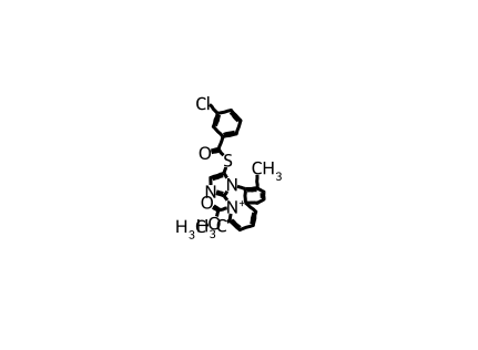 COC(=O)[N+]12C(C)=CC=CC13CC=CC(C)=C3n1c(SC(=O)c3cccc(Cl)c3)cnc12